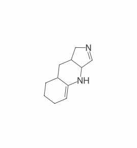 C1=NCC2CC3CCCC=C3NC12